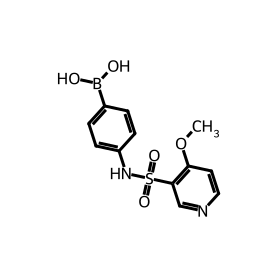 COc1ccncc1S(=O)(=O)Nc1ccc(B(O)O)cc1